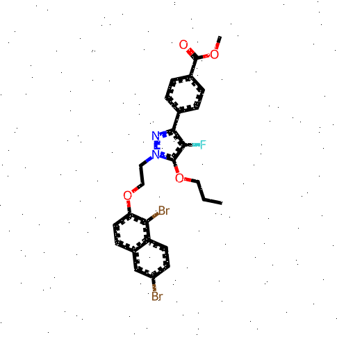 CCCOc1c(F)c(-c2ccc(C(=O)OC)cc2)nn1CCOc1ccc2cc(Br)ccc2c1Br